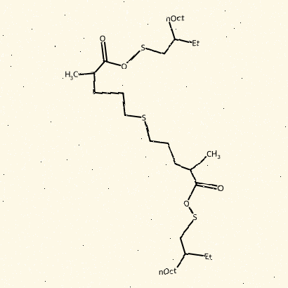 CCCCCCCCC(CC)CSOC(=O)C(C)CCCSCCCC(C)C(=O)OSCC(CC)CCCCCCCC